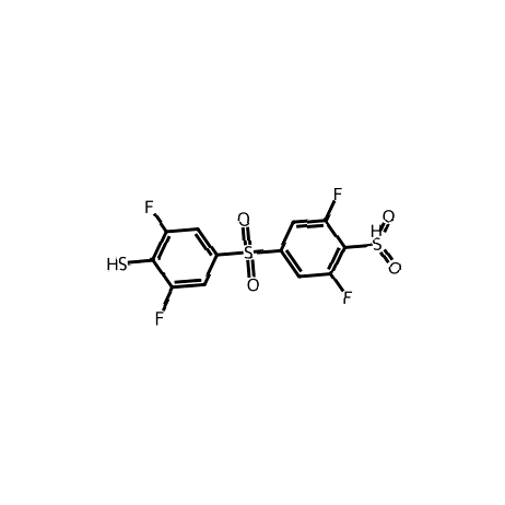 O=[SH](=O)c1c(F)cc(S(=O)(=O)c2cc(F)c(S)c(F)c2)cc1F